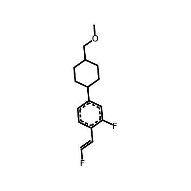 COCC1CCC(c2ccc(C=CF)c(F)c2)CC1